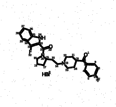 Br.O=C(c1ccc(F)cc1)C1CCN(CCC2CCCN2C(=O)c2[nH]c3ccccc3c2F)CC1